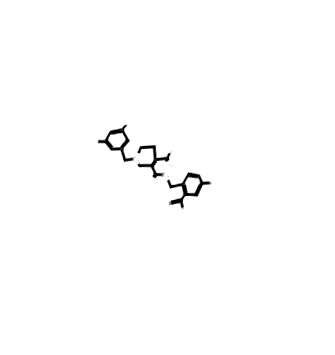 Cc1nn(Cc2ccc(Cl)cc2C(=O)O)c(=O)c2c1CCN(Cc1cc(F)cc(F)c1)C2